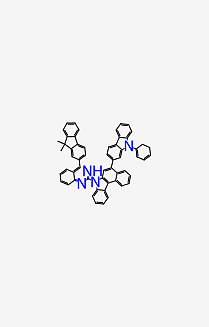 CC1(C)c2ccccc2-c2ccc(/C=C3\C=CC=C\C3=N\C(=N)n3c4ccccc4c4c5ccccc5c(-c5ccc6c7ccccc7n(C7=CC=CCC7)c6c5)cc43)cc21